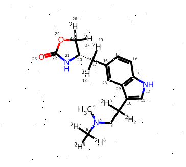 [2H]C([2H])(CN(C)C([2H])([2H])[2H])c1c[nH]c2ccc(C([2H])([2H])[C@@H]3NC(=O)OC3([2H])[2H])cc12